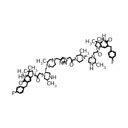 C[C@@H]1CN(CC(=O)N2CC(C)(C)c3[nH]c(=O)c(Cc4ccc(F)cc4)cc32)[C@@H](CN2CCN(Cc3cn(CC(=O)N4CCN(C[C@H]5CN[C@H](C)CN5CC(=O)N5CC(C)(C)c6[nH]c(=O)c(Cc7ccc(F)cc7)cc65)[C@H](C)C4)nn3)C[C@H]2C)CN1